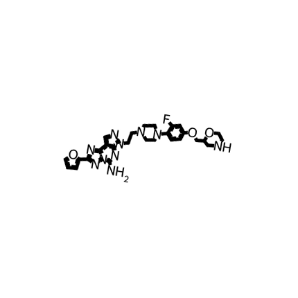 Nc1nc2c(cnn2CCN2CCN(c3ccc(OCC4CNCCO4)cc3F)CC2)c2nc(-c3ccco3)nn12